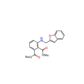 COC(=O)c1cccc(NCc2cc3ccccc3o2)c1C(=O)OC